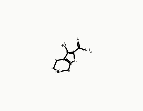 NC(=O)c1sc2c(c1O)CCNC2